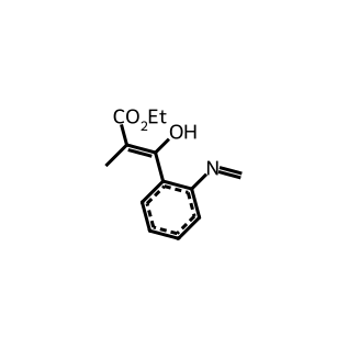 C=Nc1ccccc1/C(O)=C(\C)C(=O)OCC